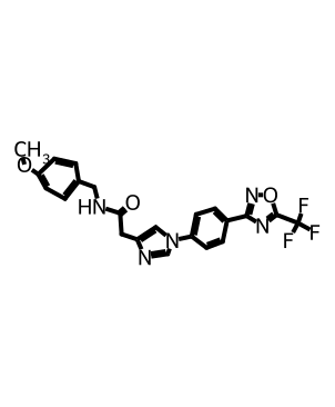 COc1ccc(CNC(=O)Cc2cn(-c3ccc(-c4noc(C(F)(F)F)n4)cc3)cn2)cc1